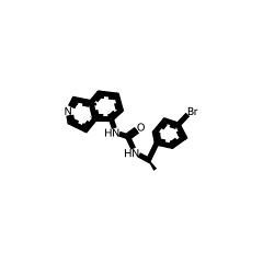 C[C@@H](NC(=O)Nc1cccc2cnccc12)c1ccc(Br)cc1